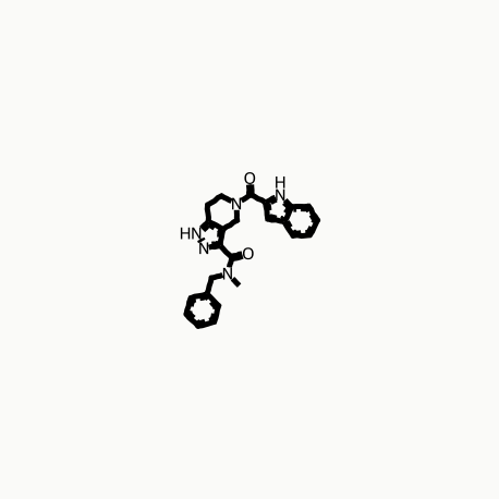 CN(Cc1ccccc1)C(=O)c1n[nH]c2c1CN(C(=O)c1cc3ccccc3[nH]1)CC2